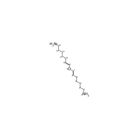 NCCCCCC=COC=CCCCCCN